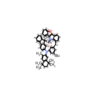 Cc1cc2c(cc1N1c3cc(C(C)(C)C)cc4c3B(Cn3c5c(cccc5c5oc6ccccc6c53)C4)c3c1ccc1c3C(C)(C)c3ccccc3-1)C(C)(C)CCC2(C)C